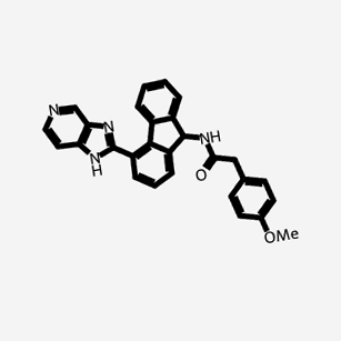 COc1ccc(CC(=O)NC2c3ccccc3-c3c(-c4nc5cnccc5[nH]4)cccc32)cc1